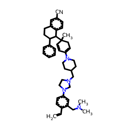 C=Cc1ccc(N2CCN(CC3CCN(C4=CCC(C)(C5c6ccc(C#N)cc6CCC5c5ccccc5)C=C4)CC3)C2)cc1CN(C)C